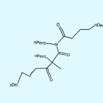 CCCCCCCCCCCCCC(=O)N(CCCCC)C(=O)C(C)(CCCCC)C(=O)CCCCCCCCCCCCC